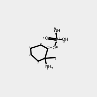 CC1(N)CCCCC1.O=P(O)(O)O